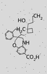 C=CC[C@@H](O)[C@@]1(C)CC[C@@H]1CC1CCc2ccccc2C12CNc1cc(C(=O)O)ccc1OC2